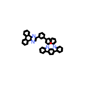 c1ccc(-n2c3ccccc3c3ccc4c5ccccc5n(-c5cccc(-c6cccc(-c7cnc8c9ccccc9c9ccccc9c8n7)c6)c5)c4c32)cc1